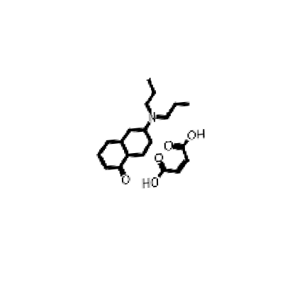 CCCN(CCC)C1CCC2C(=O)CCCC2C1.O=C(O)/C=C\C(=O)O